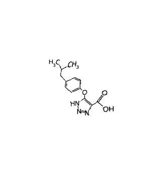 CC(C)Cc1ccc(Oc2[nH]nnc2C(=O)O)cc1